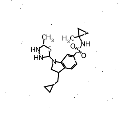 CC1NNC(N2CC(CC3CC3)c3ccc(S(=O)(=O)NC4(C)CC4)cc32)S1